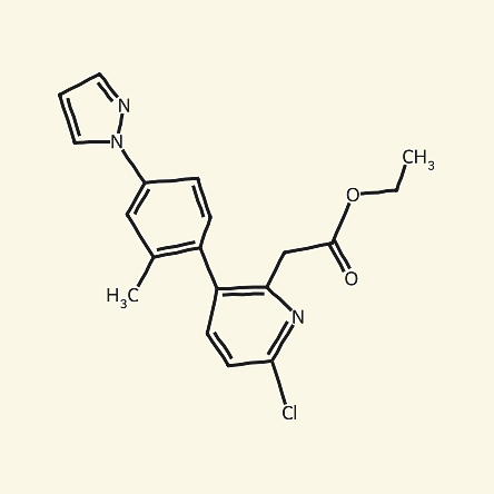 CCOC(=O)Cc1nc(Cl)ccc1-c1ccc(-n2cccn2)cc1C